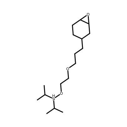 CC(C)[SiH](OCCOCCCC1CCC2OC2C1)C(C)C